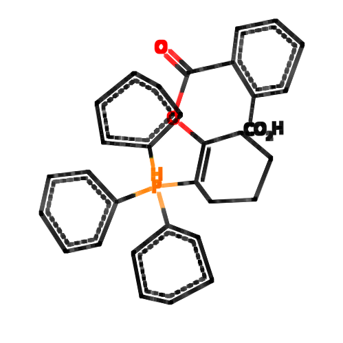 O=C(O)c1ccccc1C(=O)OC1=C([PH](c2ccccc2)(c2ccccc2)c2ccccc2)CCCC1